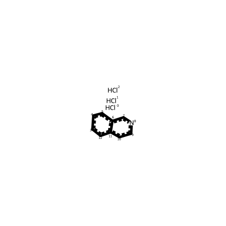 Cl.Cl.Cl.c1ccc2cnccc2c1